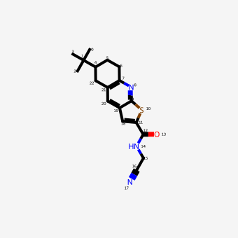 CC(C)(C)C1CCc2nc3sc(C(=O)NCC#N)cc3cc2C1